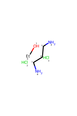 CCO.Cl.Cl.NCCCN